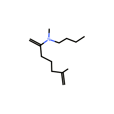 C=C(C)CCCC(=C)N(C)CCCC